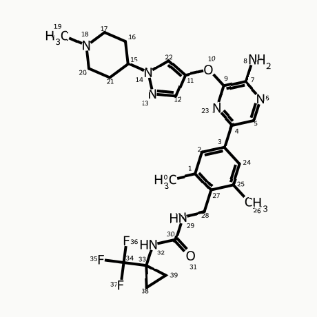 Cc1cc(-c2cnc(N)c(Oc3cnn(C4CCN(C)CC4)c3)n2)cc(C)c1CNC(=O)NC1(C(F)(F)F)CC1